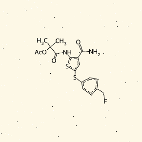 CC(=O)OC(C)(C)C(=O)Nc1sc(Sc2ccc(CF)cc2)cc1C(N)=O